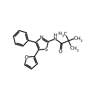 CC(C)(C)C(=O)Nc1nc(-c2ccccc2)c(-c2ccco2)s1